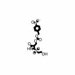 O=C(OCc1ccc([N+](=O)[O-])cc1)OCC1C(=O)NC1S(=O)(=O)CCO